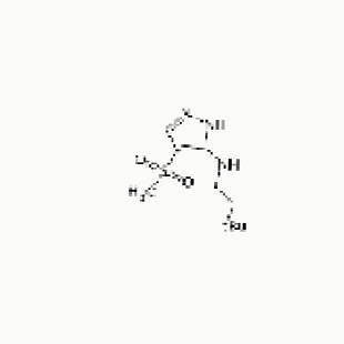 CC(C)(C)CCNc1[nH]ncc1S(C)(=O)=O